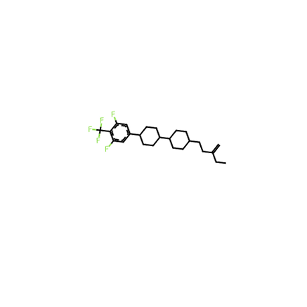 C=C(CC)CCC1CCC(C2CCC(c3cc(F)c(C(F)(F)F)c(F)c3)CC2)CC1